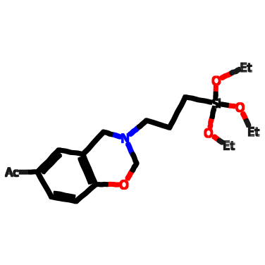 CCO[Si](CCCN1COc2ccc(C(C)=O)cc2C1)(OCC)OCC